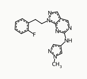 Cn1cc(Nc2ncc3cnn(CCc4ccccc4F)c3n2)cn1